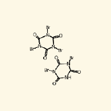 O=c1[nH]c(=O)n(Br)c(=O)n1Br.O=c1n(Br)c(=O)n(Br)c(=O)n1Br